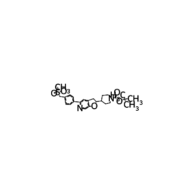 CC(C)(C)OC(=O)N1CCC(C2Cc3cc(-c4ccc(CS(C)(=O)=O)cc4)ncc3O2)CC1